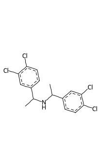 CC(NC(C)c1ccc(Cl)c(Cl)c1)c1ccc(Cl)c(Cl)c1